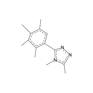 Cc1cc(-c2nnc(C)n2C)c(C)c(C)c1C